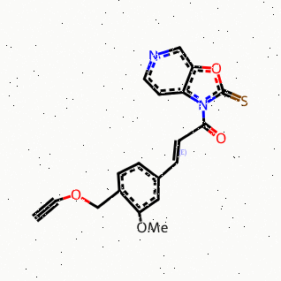 C#COCc1ccc(/C=C/C(=O)n2c(=S)oc3cnccc32)cc1OC